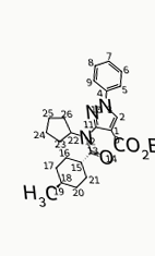 CCOC(=O)c1cn(-c2ccccc2)nc1N(C(=O)[C@H]1CC[C@H](C)CC1)C1CCCC1